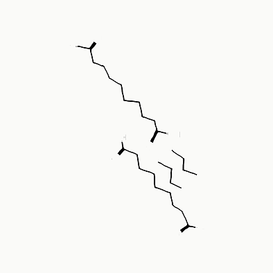 CCCC.CCCC.O=C(O)CCCCCCCC(=O)O.O=C(O)CCCCCCCCC(=O)O